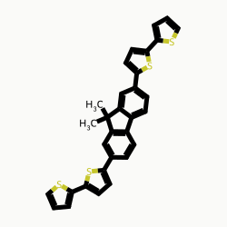 CC1(C)c2cc(-c3ccc(-c4cccs4)s3)ccc2-c2ccc(-c3ccc(-c4cccs4)s3)cc21